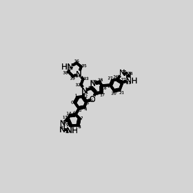 c1cc2c(cc1-c1ccc3[nH]nnc3c1)Oc1cc(-c3ccc4[nH]nnc4c3)cnc1N2CCN1CCNCC1